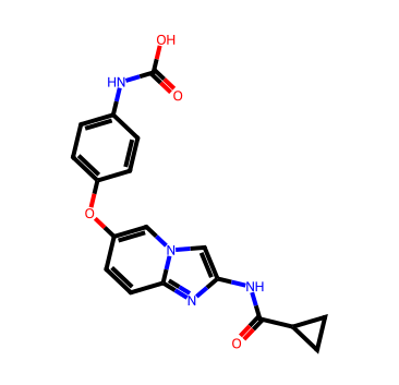 O=C(O)Nc1ccc(Oc2ccc3nc(NC(=O)C4CC4)cn3c2)cc1